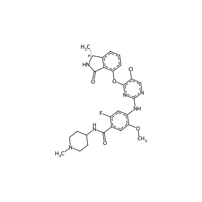 COc1cc(C(=O)NC2CCN(C)CC2)c(F)cc1Nc1ncc(Cl)c(Oc2cccc3c2C(=O)N[C@@H]3C)n1